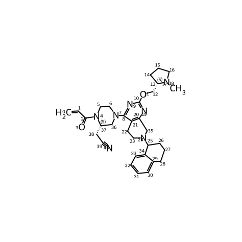 C=CC(=O)N1CCN(c2nc(OC[C@@H]3CCCN3C)nc3c2CCN(C2CCCc4ccccc42)C3)C[C@@H]1CC#N